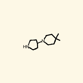 CC1(C)CCN(C2CCNCC2)CC1